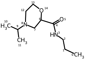 CCCNC(=O)C1CN(C(C)C)CCO1